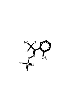 CCCS(=O)(=O)ON=C(c1ccccc1C)C(Cl)(Cl)C#N